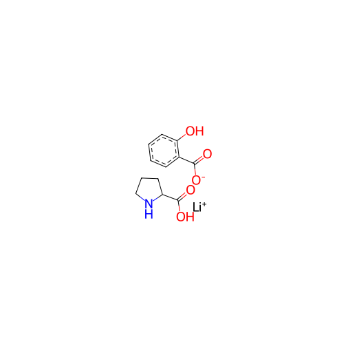 O=C(O)C1CCCN1.O=C([O-])c1ccccc1O.[Li+]